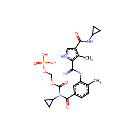 Cc1ccc(C(=O)N(C(=O)OCOP(=O)(O)O)C2CC2)cc1NC(=N)c1[nH]cc(C(=O)NC2CC2)c1C